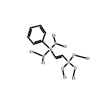 CCO[Si](C=C[Si](c1ccccc1)(N(CC)CC)N(CC)CC)(OCC)OCC